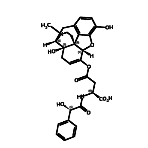 CN1CC[C@@]23c4c5ccc(O)c4O[C@@H]2C(OC(=O)C[C@H](NC(=O)[C@@H](O)c2ccccc2)C(=O)O)=CC[C@]3(O)[C@@H]1C5